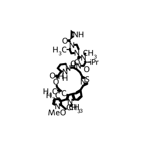 CO[C@@H](C)c1ncccc1-c1c2c3cc(ccc3n1C)-c1csc(n1)C[C@H](NC(=O)[C@H](C(C)C)N(C)C(=O)N1CCN(C(=O)[C@H]3CN3)[C@H](C)C1)C(=O)N1CCC[C@H](N1)C(=O)OCC(C)(C)C2